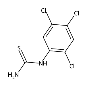 NC(=S)Nc1cc(Cl)c(Cl)cc1Cl